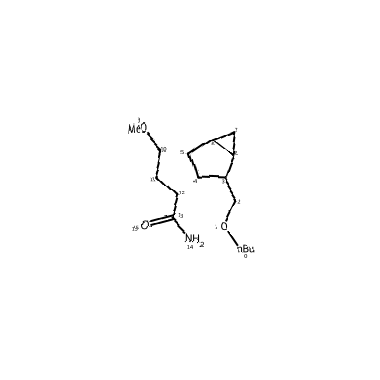 CCCCOCC1CCC2CC12.COCCCC(N)=O